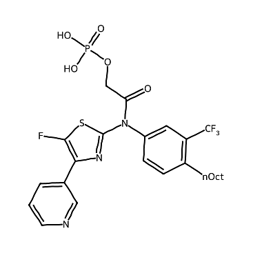 CCCCCCCCc1ccc(N(C(=O)COP(=O)(O)O)c2nc(-c3cccnc3)c(F)s2)cc1C(F)(F)F